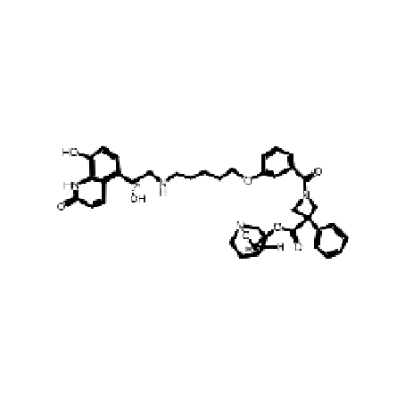 O=C(c1cccc(OCCCCCNC[C@H](O)c2ccc(O)c3[nH]c(=O)ccc23)c1)N1CC(C(=O)O[C@H]2CN3CCC2CC3)(c2ccccc2)C1